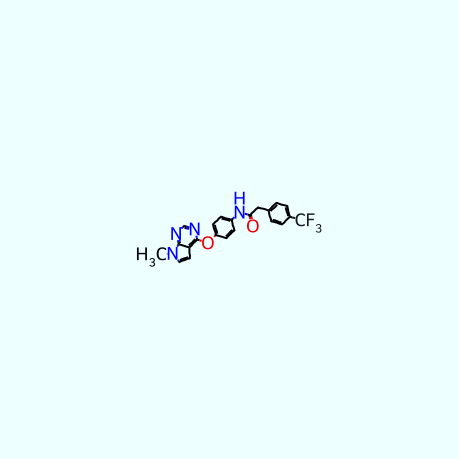 Cn1ccc2c(Oc3ccc(NC(=O)Cc4ccc(C(F)(F)F)cc4)cc3)ncnc21